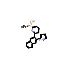 CCCP(CCC)c1cccc(-c2cc3ccccc3cc2-c2ccc[nH]2)n1